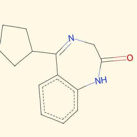 O=C1CN=C(C2CCCC2)c2ccccc2N1